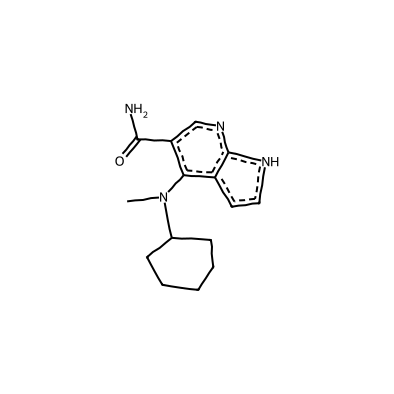 CN(c1c(C(N)=O)cnc2[nH]ccc12)C1CCCCC1